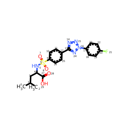 CC(C)CC(NS(=O)(=O)c1ccc(-c2nnn(-c3ccc(F)cc3)n2)cc1)C(=O)O